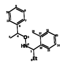 CCC(NOC(C)c1ccccc1)c1ccccc1C